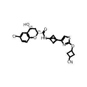 N#CC1CC(Oc2nc(C34CC(NC(=O)[C@H]5C[C@@H](O)c6cc(Cl)ccc6O5)(C3)C4)cs2)C1